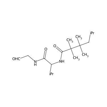 CC(C)CC(C)(C)C(C)(C)C(=O)NC(C(=O)NCC=O)C(C)C